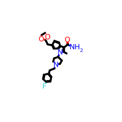 Cc1c(C(N)=O)c2ccc(CC3OCCO3)cc2n1C1CCN(CCc2ccc(F)cc2)CC1